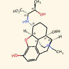 CO[C@@]12CC[C@@H](N[C@H](C(=O)O)[C@@H](C)O)[C@@H]3Oc4c(O)ccc5c4[C@@]31CCN(C)[C@@H]2C5